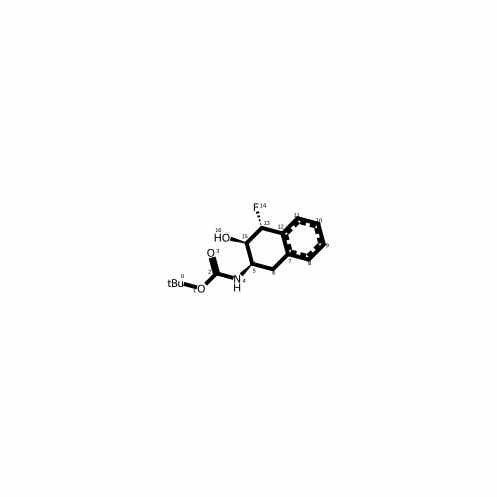 CC(C)(C)OC(=O)N[C@@H]1Cc2ccccc2[C@@H](F)[C@@H]1O